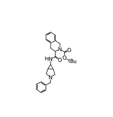 CC(C)(C)OC(=O)N1Cc2ccccc2CC1C(=O)NC1C2CN(Cc3ccccc3)CC21